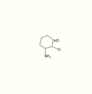 Cl.NC1CCCCC1Cl